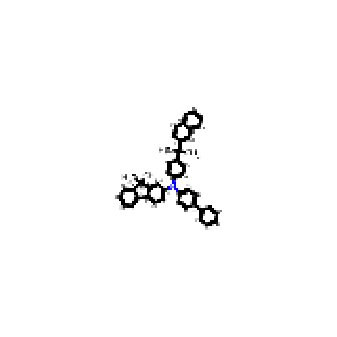 CC(C)(c1ccc(N(c2ccc(-c3ccccc3)cc2)c2ccc3c(c2)C(C)(C)c2ccccc2-3)cc1)c1ccc2ccccc2c1